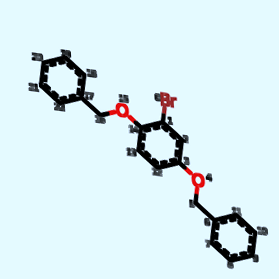 Brc1cc(OCc2ccccc2)ccc1OCc1ccccc1